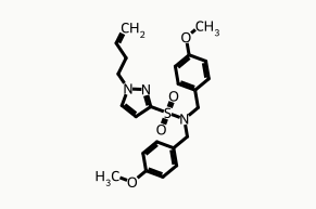 C=CCCn1ccc(S(=O)(=O)N(Cc2ccc(OC)cc2)Cc2ccc(OC)cc2)n1